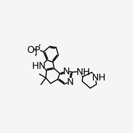 CC1(C)Cc2cnc(N[C@H]3CCCNC3)nc2-c2c1[nH]c1c(P(C)(C)=O)cccc21